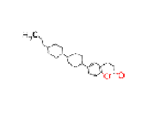 CCCC1CCC(C2CCC(c3ccc4c(c3)CCC(=O)O4)CC2)CC1